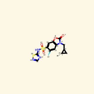 C[C@H]1CC1Cn1c(=O)oc2cc(S(=O)(=O)Nc3ncns3)c(F)cc21